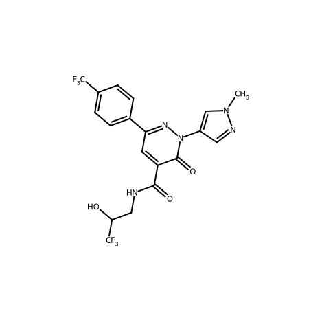 Cn1cc(-n2nc(-c3ccc(C(F)(F)F)cc3)cc(C(=O)NCC(O)C(F)(F)F)c2=O)cn1